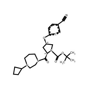 CC(C)(C)OC(=O)N1C[C@H](Oc2ccc(C#N)cc2)C[C@@H]1C(=O)N1CCCN(C2CCC2)CC1